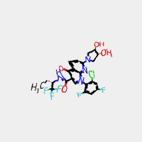 CC[C@H](NC(=O)c1cn(-c2c(F)cc(F)cc2Cl)c2nc(N3C[C@@H](O)[C@H](O)C3)ccc2c1=O)C(F)(F)F